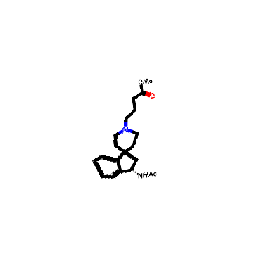 COC(=O)CCCN1CCC2(CC1)C[C@H](NC(C)=O)c1ccccc12